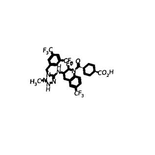 CCC1C(NC2=NNN(C)N2Cc2cc(C(F)(F)F)cc(C(F)(F)F)c2)Cc2cc(C(F)(F)F)ccc2N1C(=O)[C@H]1CC[C@H](C(=O)O)CC1